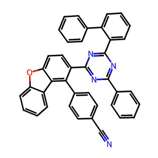 N#Cc1ccc(-c2c(-c3nc(-c4ccccc4)nc(-c4ccccc4-c4ccccc4)n3)ccc3oc4ccccc4c23)cc1